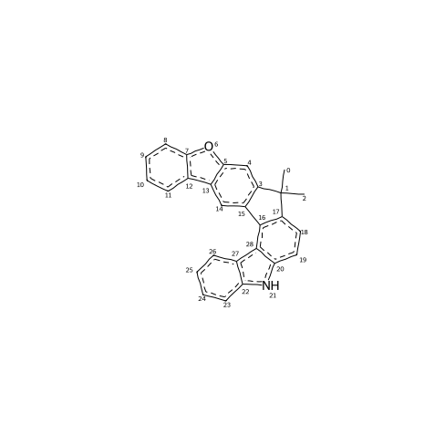 CC1(C)c2cc3oc4ccccc4c3cc2-c2c1ccc1[nH]c3ccccc3c21